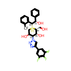 OC[C@@H]1[C@H](O)[C@@H](n2cc(-c3cc(F)c(F)c(F)c3)nn2)[C@@H](O)C[SH]1[C@H](c1ccccc1C(F)(F)F)[C@@H](O)c1ccccc1